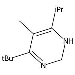 CC1=C(C(C)C)NCN=C1C(C)(C)C